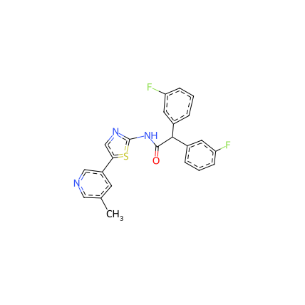 Cc1cncc(-c2cnc(NC(=O)C(c3cccc(F)c3)c3cccc(F)c3)s2)c1